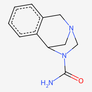 NC(=O)N1CN2Cc3ccccc3C1C2